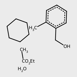 C1CCCCC1.CCOC(C)=O.Cc1ccccc1CO.O